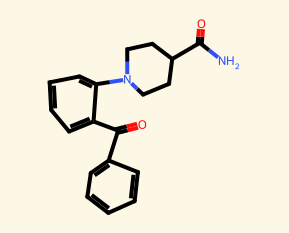 NC(=O)C1CCN(c2ccccc2C(=O)c2ccccc2)CC1